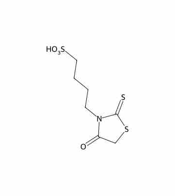 O=C1CSC(=S)N1CCCCS(=O)(=O)O